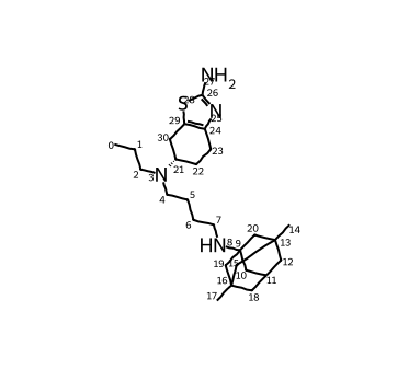 CCCN(CCCCNC12CC3CC(C)(CC(C)(C3)C1)C2)[C@H]1CCc2nc(N)sc2C1